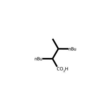 CCCCC(C)C(CCCC)C(=O)O